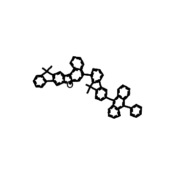 CC1(C)c2ccccc2-c2cc3oc4cc(-c5cccc6c5C(C)(C)c5ccc(-c7c8ccccc8c(-c8ccccc8)c8ccccc78)cc5-6)c5ccccc5c4c3cc21